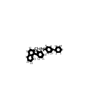 c1ccc(-c2ccc(Nc3cccc4c3sc3ccc5ccccc5c34)cc2)cc1